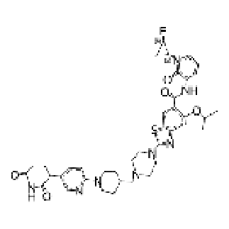 CC(C)Oc1cc2nc(N3CCN(CC4CCN(c5ccc(C6CCC(=O)NC6=O)cn5)CC4)CC3)sc2cc1C(=O)Nc1cccn([C@H]2C[C@H]2F)c1=O